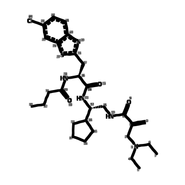 C=C(CN(CC)CC)C(=O)NC[C@@H](NC(=O)[C@H](Cc1nc2ccc(Cl)cc2s1)NC(=O)CCC)C1CCCC1